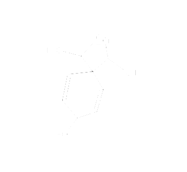 CC(C)C1(C(C)C)C=CC(O)C=C1